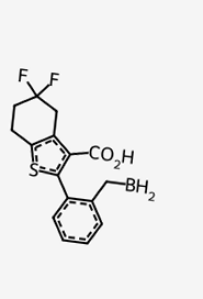 BCc1ccccc1-c1sc2c(c1C(=O)O)CC(F)(F)CC2